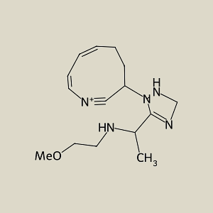 COCCNC(C)C1=NCNN1C1C#[N+]/C=C\C=C/CC1